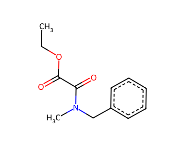 CCOC(=O)C(=O)N(C)Cc1ccccc1